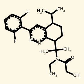 CCN(C(=O)CO)C(C)(C)C1CCC(C(C)C)c2cc(-c3c(F)cccc3F)nnc21